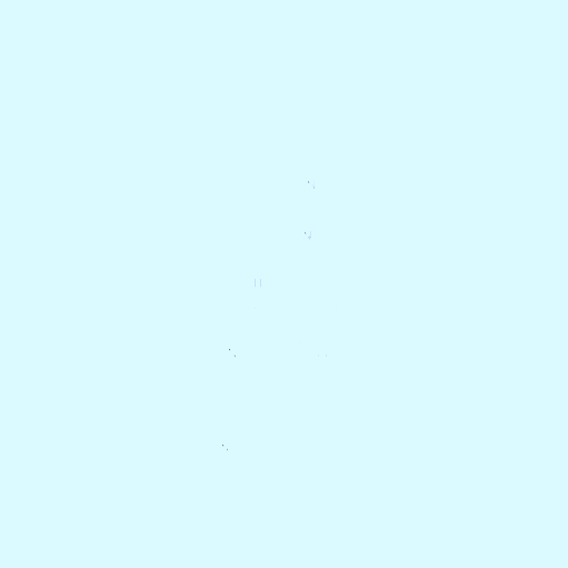 CCc1cc2c(cc1N1CCN(C3COC3)CC1)C(C)(C)c1[nH]c3cc(C#N)ccc3c1C2=O.Cl